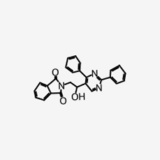 O=C1c2ccccc2C(=O)N1CC(O)c1cnc(-c2ccccc2)nc1-c1ccccc1